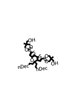 CCCCCCCCCCCCC1(CCCCCCCCCCCC)Oc2cc(B3OCC(C)(CO)CO3)sc2-c2sc(B3OCC(C)(CO)CO3)cc21